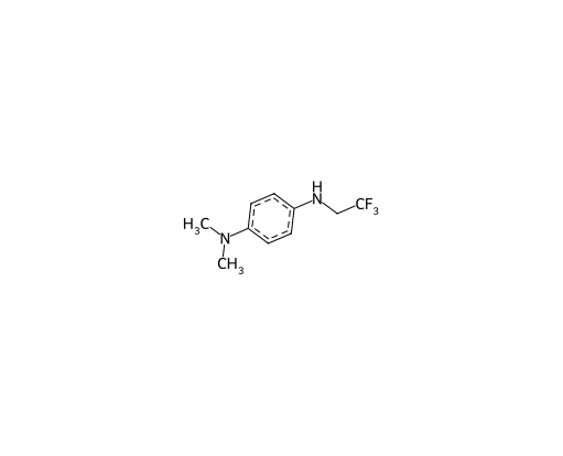 CN(C)c1ccc(NCC(F)(F)F)cc1